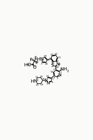 Nc1ncc(-c2cnn(C3CCNCC3)c2)cc1-c1nc2cccc(-c3cc[nH]c3)c2s1.O=C(O)C(F)(F)F